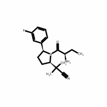 CC[C@@H](N)C(=O)N1[C@H](c2cccc(F)c2)CC[C@@H]1C(C)(C)C#N